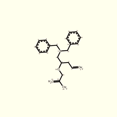 C=CCC(CN(Cc1ccccc1)Cc1ccccc1)OCC(=C)C